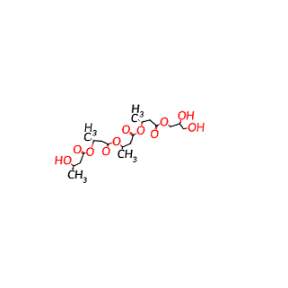 C[C@H](CC(=O)OCC(O)CO)OC(=O)C[C@@H](C)OC(=O)C[C@@H](C)OC(=O)C[C@@H](C)O